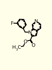 CCOC(=O)c1cc2ccncc2n1Cc1cccc(F)c1